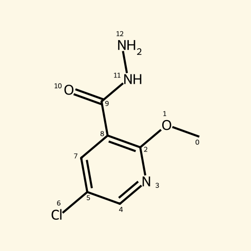 COc1ncc(Cl)cc1C(=O)NN